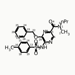 CCCN(C)C(=O)c1cnc(NS(=O)(=O)c2ccc(C)cc2)c(OCc2cccnc2)n1